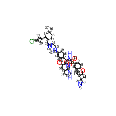 CN1CC2(CC(Oc3ccc(S(=O)(=O)NC(=O)c4ccc(N5CCN(CC6=C(C78CC(Cl)(C7)C8)CC(C)(C)CC6)CC5)cc4Oc4cnc5[nH]ccc5c4)cc3[N+](=O)[O-])C2)C1